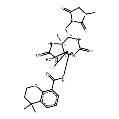 CN1CC(=O)N(C[C@@H]2NC(=N)N3CC(NC(=O)c4cccc5c4OCCC5(C)C)C(O)(O)[C@@]34NC(=N)N[C@@H]24)C1=O